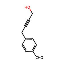 O=Cc1ccc(CC#CCO)cc1